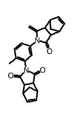 C=C1C2C3C=CC(C3)C2C(=O)N1c1ccc(C)c(N2C(=O)C3C4C=CC(C4)C3C2=O)c1